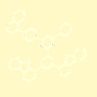 c1ccc(-c2cc(-c3ccc(-c4ccnc5ccccc45)cc3)nc(-c3cc(-c4cccc5c4oc4ccccc45)cc(-c4cccc5c4oc4ccccc45)c3)n2)cc1